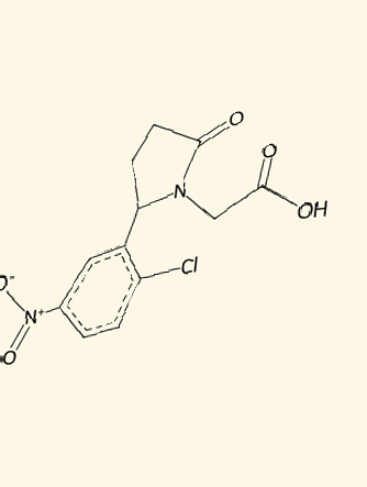 O=C(O)CN1C(=O)CCC1c1cc([N+](=O)[O-])ccc1Cl